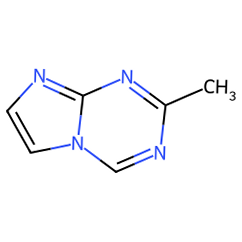 Cc1ncn2ccnc2n1